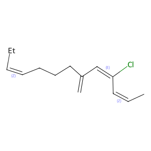 C=C(/C=C(Cl)\C=C/C)CCC/C=C\CC